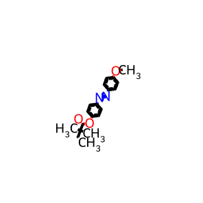 CCC(C)(C)C(=O)Oc1ccc(N=Nc2ccc(OC)cc2)cc1